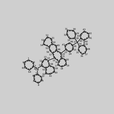 c1ccc(N(c2ccccc2)c2ccc(-c3c4ccccc4c(-c4ccc(C5(c6ccccc6)c6ccccc6-c6ccccc65)cc4)c4cc5ccccc5cc34)c3ccccc23)cc1